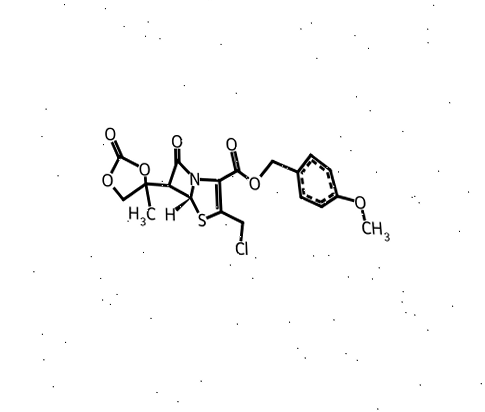 COc1ccc(COC(=O)C2=C(CCl)S[C@@H]3C(C4(C)COC(=O)O4)C(=O)N23)cc1